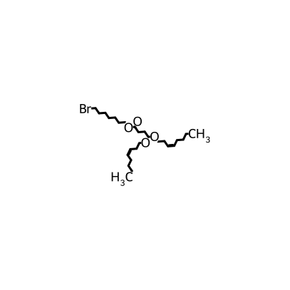 CCCC/C=C\CCOC(CCC(=O)OCCCCCCCBr)OCC/C=C\CCCC